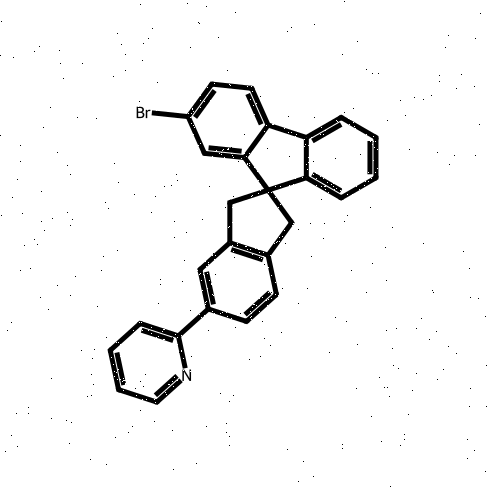 Brc1ccc2c(c1)C1(Cc3ccc(-c4ccccn4)cc3C1)c1ccccc1-2